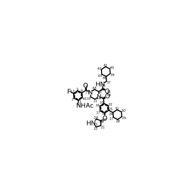 CC(=O)Nc1cc(F)cc(C(=O)N2CCN(C(=O)c3ccc(O[C@H]4CCNC4)c(C4CCCCC4)c3)C(C(=O)NCC3CCCCC3)C2)c1